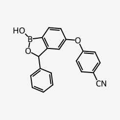 N#Cc1ccc(Oc2ccc3c(c2)C(c2ccccc2)OB3O)cc1